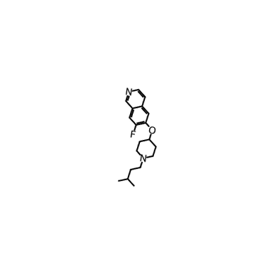 CC(C)CCN1CCC(Oc2cc3ccncc3cc2F)CC1